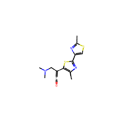 Cc1nc(-c2nc(C)c(C(=C=O)CN(C)C)s2)cs1